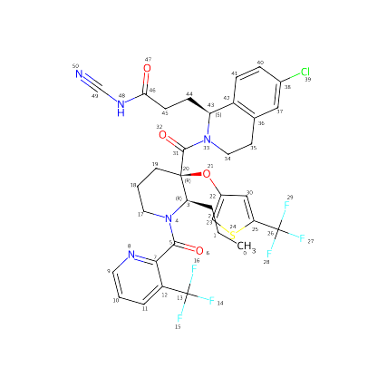 CCC[C@H]1N(C(=O)c2ncccc2C(F)(F)F)CCC[C@]1(Oc1csc(C(F)(F)F)c1)C(=O)N1CCc2cc(Cl)ccc2[C@@H]1CCC(=O)NC#N